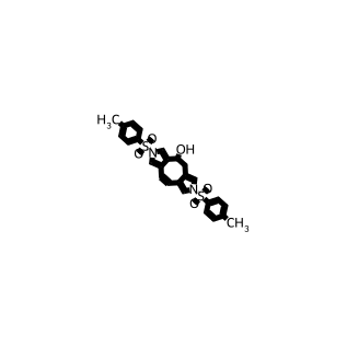 Cc1ccc(S(=O)(=O)n2cc3c(c2)CC(O)c2cn(S(=O)(=O)c4ccc(C)cc4)cc2C#C3)cc1